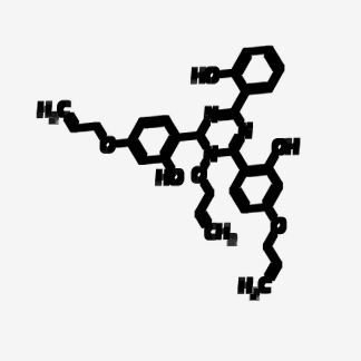 C=CCOc1ccc(C2=NC(c3ccccc3O)=NC(c3ccc(OCC=C)cc3O)N2OCC=C)c(O)c1